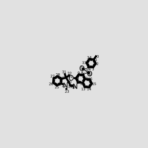 Cc1ccc(S(=O)(=O)c2cc3c(c4ccccc24)N=CC2(O3)N(C)c3ccccc3C2(C)C)cc1